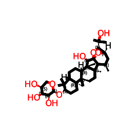 C[C@@H]1C[C@H]2OC3(O[C@@H]2C(C)(C)O)C1[C@@]1(C)CC[C@@]24C[C@@]25CC[C@H](O[C@@H]2OC[C@H](O)[C@H](O)[C@H]2O)C(C)(C)[C@@H]5CC[C@H]4[C@]1(C)[C@H]3O